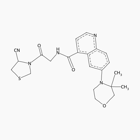 CC1(C)COCCN1c1ccc2nccc(C(=O)NCC(=O)N3CSCC3C#N)c2c1